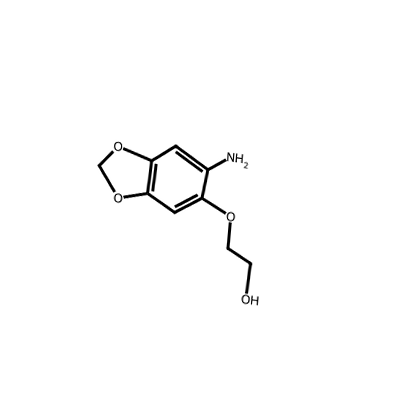 Nc1cc2c(cc1OCCO)OCO2